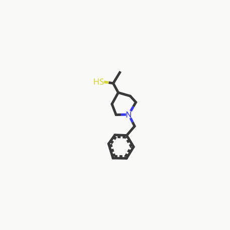 CC(S)C1CCN(Cc2ccccc2)CC1